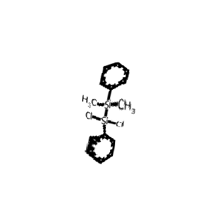 C[Si](C)(c1ccccc1)[Si](Cl)(Cl)c1ccccc1